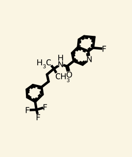 CC(C)(CCc1cccc(C(F)(F)F)c1)NC(=O)c1cnc2c(F)cccc2c1